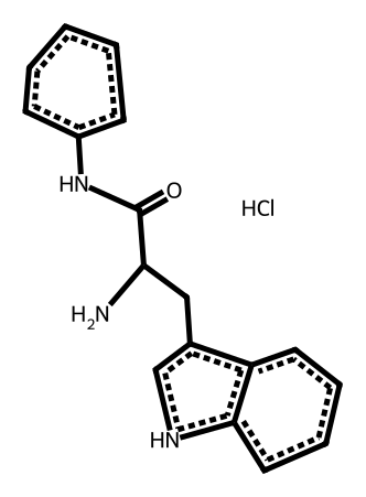 Cl.NC(Cc1c[nH]c2ccccc12)C(=O)Nc1ccccc1